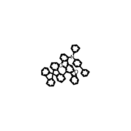 c1ccc(-c2ccc(N(c3ccccc3)c3cccc4oc5c(-c6cccc7c6-c6ccccc6C76c7ccccc7-c7ccccc76)c6c(cc5c34)oc3ccccc36)cc2)cc1